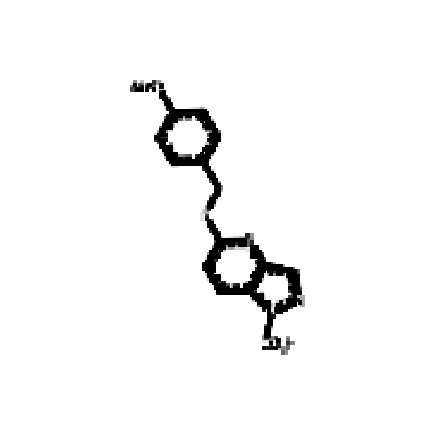 COc1ccc(CSc2ccc3c(cnn3C(=O)O)n2)cc1